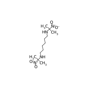 CC(C)(NCCCCCCNC(C)(C)[N+](=O)[O-])[N+](=O)[O-]